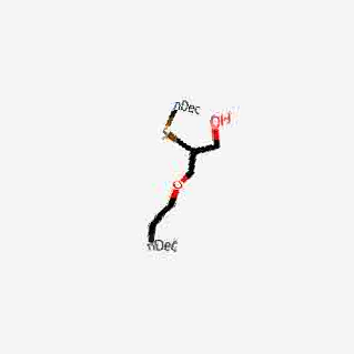 CCCCCCCCCCCCOCC(CO)SCCCCCCCCCC